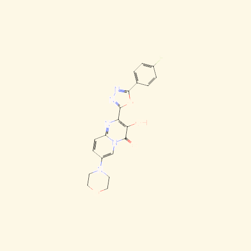 O=c1c(O)c(-c2nnc(-c3ccc(F)cc3)o2)nc2ccc(N3CCOCC3)cn12